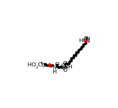 O=C(O)COCCOCCNC(=O)CCCS(=O)(=O)NC(=O)CCCCCCCCCCCCCCCc1nnn[nH]1